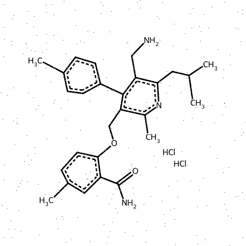 Cc1ccc(-c2c(COc3ccc(C)cc3C(N)=O)c(C)nc(CC(C)C)c2CN)cc1.Cl.Cl